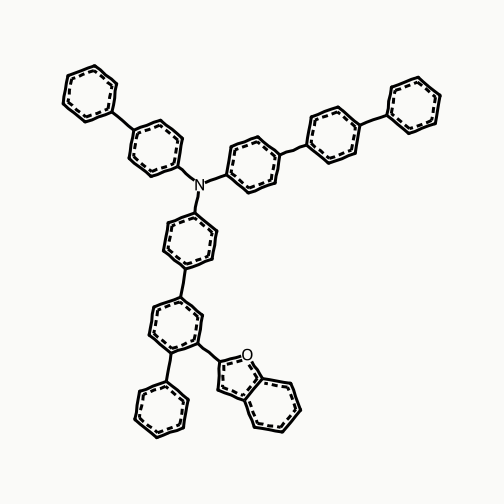 c1ccc(-c2ccc(-c3ccc(N(c4ccc(-c5ccccc5)cc4)c4ccc(-c5ccc(-c6ccccc6)c(-c6cc7ccccc7o6)c5)cc4)cc3)cc2)cc1